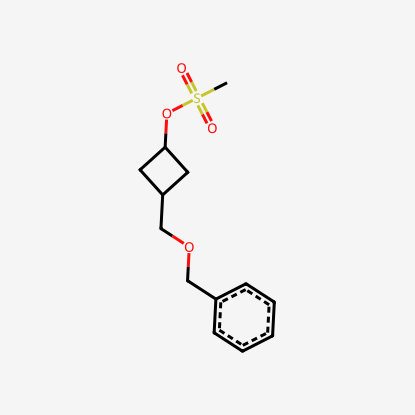 CS(=O)(=O)OC1CC(COCc2ccccc2)C1